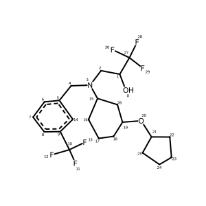 OC(CN(Cc1cccc(C(F)(F)F)c1)C1CCCC(OC2CCCC2)C1)C(F)(F)F